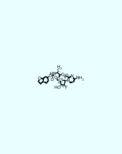 CC(C)OC(=O)C(C)NP(=O)(OC[C@H]1S[C@@H](n2ccc(N)nc2=O)[C@@H](F)[C@@H]1O)Oc1ccc2ccoc2c1